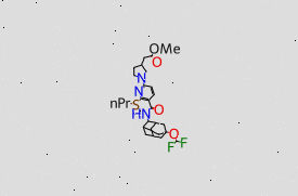 CCCSc1nc(N2CCC(CC(=O)OC)C2)ccc1C(=O)NC1C2CC3CC1CC(OC(F)F)(C3)C2